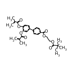 C=C(C)C(=O)Oc1ccc(-c2ccc(C(=O)OCCOC(=O)C(C)(C)C)cc2)cc1OC(=O)C(=C)C